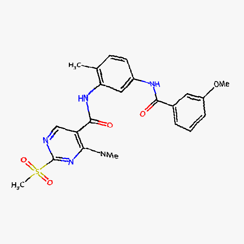 CNc1nc(S(C)(=O)=O)ncc1C(=O)Nc1cc(NC(=O)c2cccc(OC)c2)ccc1C